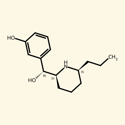 CCC[C@H]1CCC[C@@H]([C@H](O)c2cccc(O)c2)N1